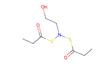 CCC(=O)SN(CCO)SC(=O)CC